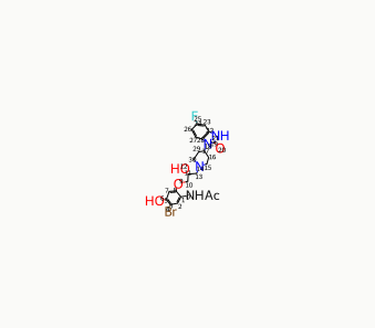 CC(=O)Nc1cc(Br)c(O)cc1OC[C@@H](O)CN1CCC(n2c(=O)[nH]c3cc(F)ccc32)CC1